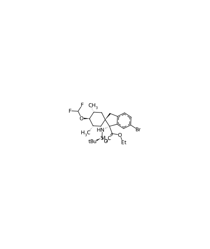 C=C(OCC)[C@]1(N[S@@+]([O-])C(C)(C)C)c2cc(Br)ccc2C[C@@]12C[C@@H](C)[C@H](OC(F)F)[C@@H](C)C2